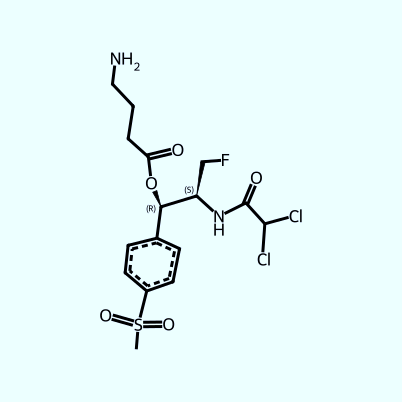 CS(=O)(=O)c1ccc([C@@H](OC(=O)CCCN)[C@@H](CF)NC(=O)C(Cl)Cl)cc1